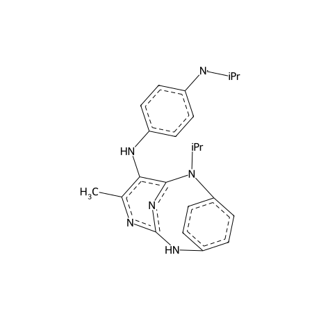 Cc1nc2nc(c1Nc1ccc([N]C(C)C)cc1)N(C(C)C)c1ccc(cc1)N2